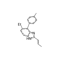 CC=Cc1nc2c(-c3ccc(C)cc3)c(CC)ccc2[nH]1